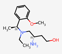 CCN(C[C@@H](N)CCO)[C@@H](C)c1ccccc1OC